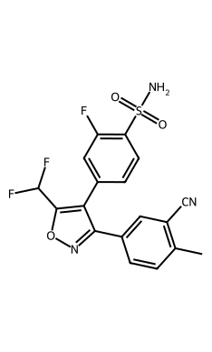 Cc1ccc(-c2noc(C(F)F)c2-c2ccc(S(N)(=O)=O)c(F)c2)cc1C#N